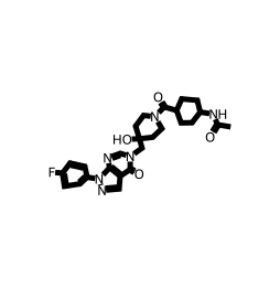 CC(=O)NC1CCC(C(=O)N2CCC(O)(Cn3cnc4c(cnn4-c4ccc(F)cc4)c3=O)CC2)CC1